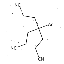 CC(=O)C(CCC#N)(CCC#N)CCC#N